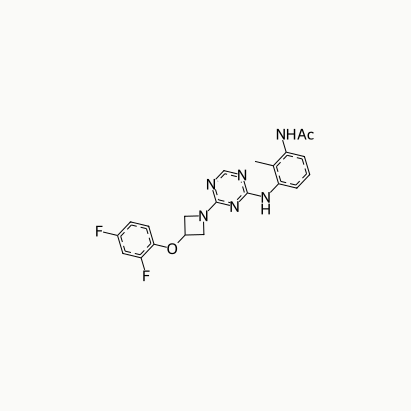 CC(=O)Nc1cccc(Nc2ncnc(N3CC(Oc4ccc(F)cc4F)C3)n2)c1C